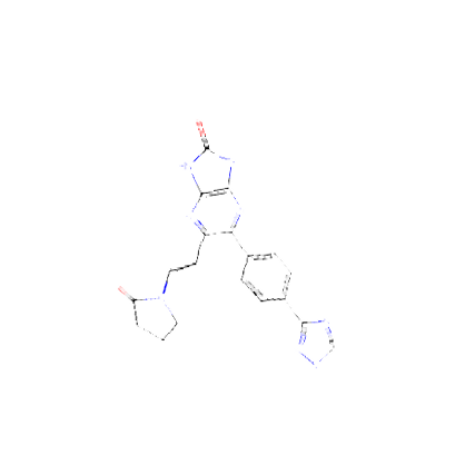 O=C1CCCN1CCc1nc2[nH]c(=O)[nH]c2nc1-c1ccc(-c2nc[nH]n2)cc1